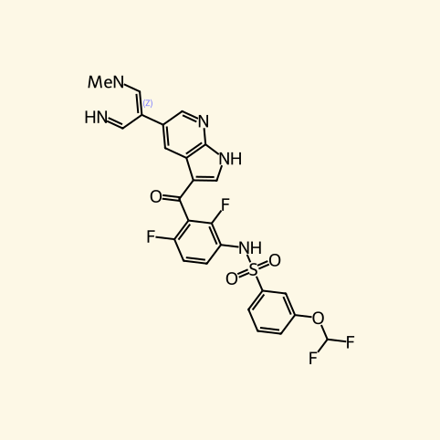 CN/C=C(\C=N)c1cnc2[nH]cc(C(=O)c3c(F)ccc(NS(=O)(=O)c4cccc(OC(F)F)c4)c3F)c2c1